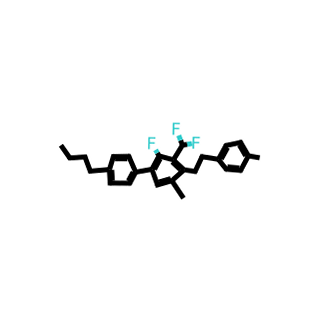 CCCCc1ccc(-c2cc(C)c(CCc3ccc(C)cc3)c(C(F)F)c2F)cc1